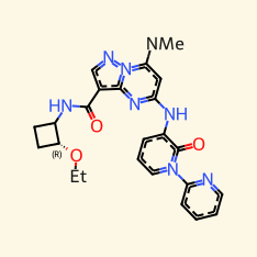 CCO[C@@H]1CCC1NC(=O)c1cnn2c(NC)cc(Nc3cccn(-c4ccccn4)c3=O)nc12